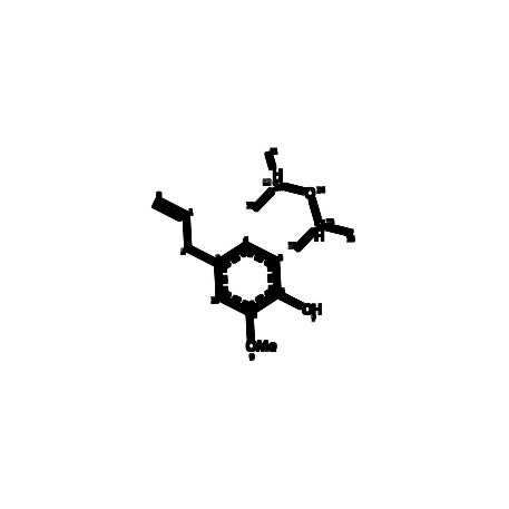 C=CCc1ccc(O)c(OC)c1.C[SiH](C)O[SiH](C)C